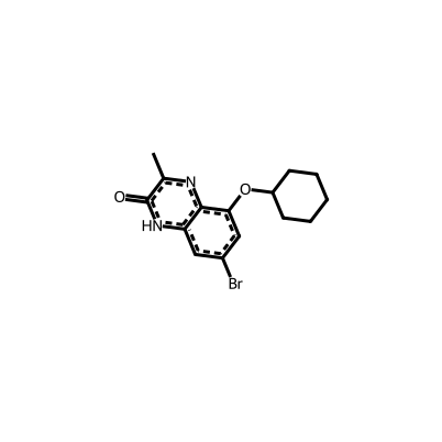 Cc1nc2c(OC3CCCCC3)cc(Br)cc2[nH]c1=O